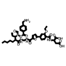 CCCCCC(C(=O)NCNC(=O)c1ccc(-c2ccc(C(=O)NC(CC(=O)O)C(=O)O)c(OCC)c2)o1)C(CC)N(C=O)OC(=O)c1ccc(CN)cc1